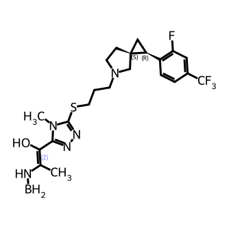 BN/C(C)=C(\O)c1nnc(SCCCN2CC[C@]3(C[C@H]3c3ccc(C(F)(F)F)cc3F)C2)n1C